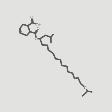 CC(C)CCCCCCCCCCCCCCC(CC(C)C)OC(=O)C1CC=CCC1C(=O)O